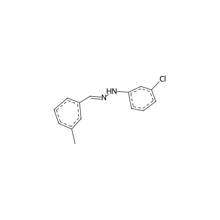 Cc1cccc(C=NNc2cccc(Cl)c2)c1